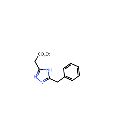 CCOC(=O)Cc1nnc(Cc2ccccc2)[nH]1